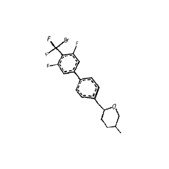 CC1CCC(c2ccc(-c3cc(F)c(C(F)(F)Br)c(F)c3)cc2)OC1